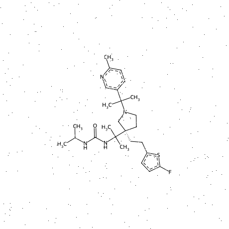 Cc1ccc(C(C)(C)N2CC[C@@](CCc3ccc(F)s3)(C(C)(C)NC(=O)NC(C)C)C2)cn1